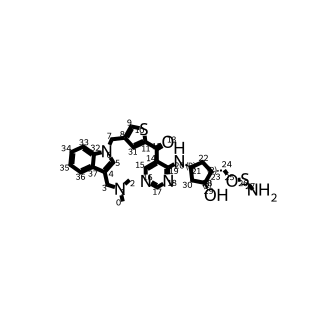 CN(C)Cc1cn(Cc2csc(C(=O)c3cncnc3N[C@@H]3C[C@H](COSN)[C@@H](O)C3)c2)c2ccccc12